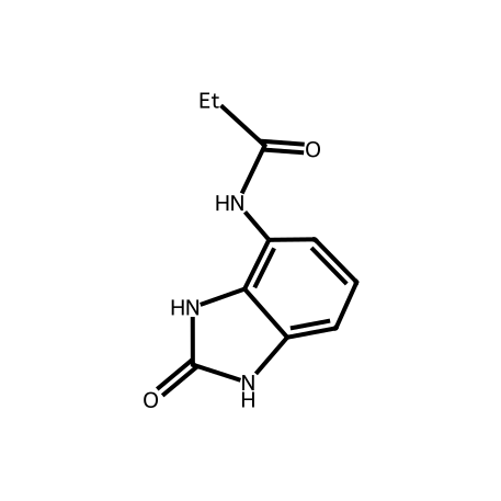 CCC(=O)Nc1cccc2[nH]c(=O)[nH]c12